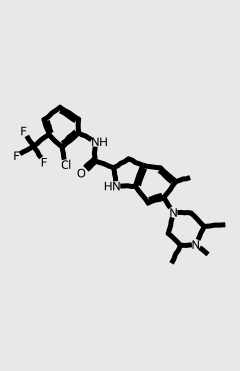 Cc1cc2c(cc1N1CC(C)N(C)C(C)C1)NC(C(=O)Nc1cccc(C(F)(F)F)c1Cl)C2